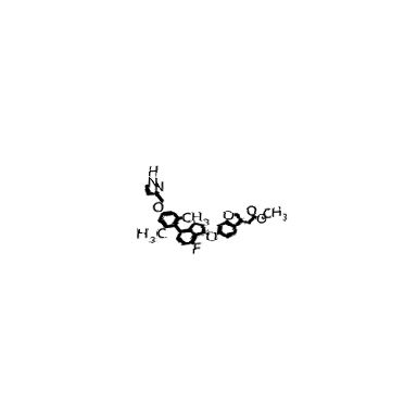 COC(=O)C[C@@H]1COc2cc(O[C@@H]3CCc4c(-c5c(C)cc(OCc6cc[nH]n6)cc5C)ccc(F)c43)ccc21